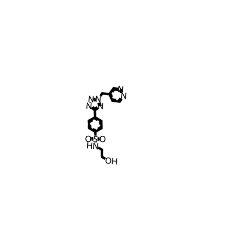 O=S(=O)(NCCO)c1ccc(-c2nnn(Cc3ccnnc3)n2)cc1